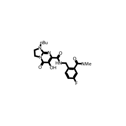 CCCCN1CCn2c1nc(C(=O)NCc1ccc(F)cc1C(=O)NC)c(O)c2=O